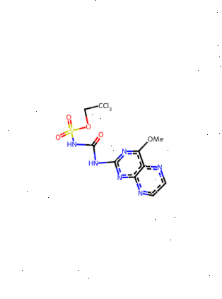 COc1nc(NC(=O)NS(=O)(=O)OCC(Cl)(Cl)Cl)nc2nccnc12